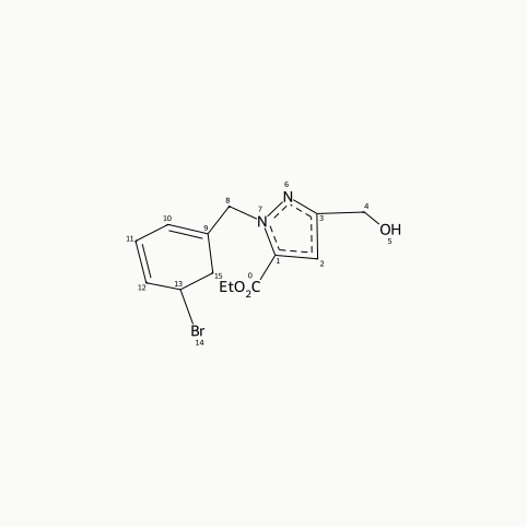 CCOC(=O)c1cc(CO)nn1CC1=CC=CC(Br)C1